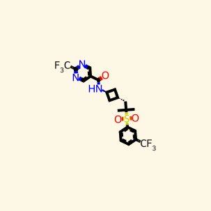 CC(C)(C[C@H]1C[C@H](NC(=O)c2cnc(C(F)(F)F)nc2)C1)S(=O)(=O)c1cccc(C(F)(F)F)c1